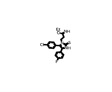 CCOC(=N)CCn1c(-c2ccc(Cl)cc2)c(-c2ccc(F)cc2)[nH]c1=S